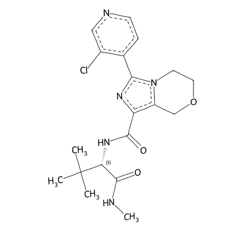 CNC(=O)[C@@H](NC(=O)c1nc(-c2ccncc2Cl)n2c1COCC2)C(C)(C)C